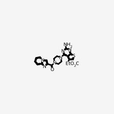 CCOC(=O)c1csc2nc(N)nc(N3CCN(C(=O)c4cn5ccccc5n4)CC3)c12